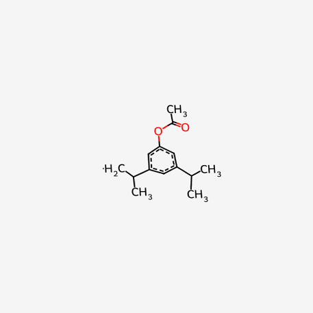 [CH2]C(C)c1cc(OC(C)=O)cc(C(C)C)c1